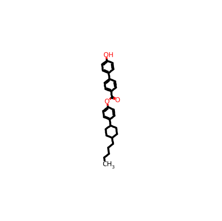 CCCCCC1CCC(c2ccc(OC(=O)c3ccc(-c4ccc(O)cc4)cc3)cc2)CC1